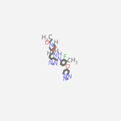 C=CC(=O)N1C[C@H]2CC[C@@H]1C[C@@H]2c1ccc2ncnc(Nc3ccc(Oc4ccn5ncnc5c4)c(C)c3F)c2n1